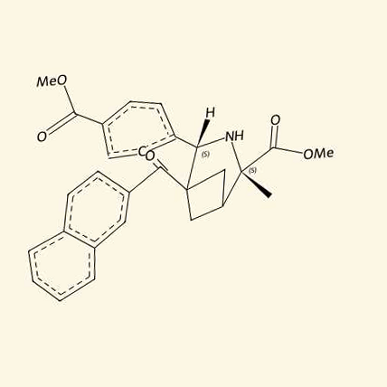 COC(=O)c1ccc([C@@H]2N[C@](C)(C(=O)OC)C3CC2(C(=O)c2ccc4ccccc4c2)C3)cc1